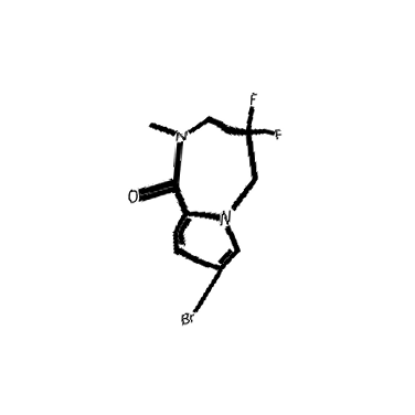 CN1CC(F)(F)Cn2cc(Br)cc2C1=O